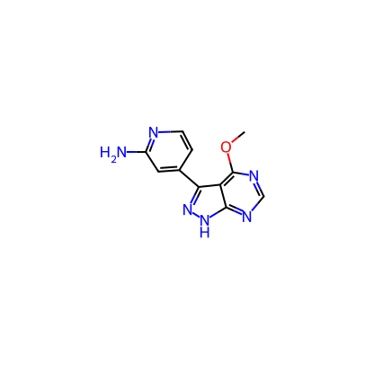 COc1ncnc2[nH]nc(-c3ccnc(N)c3)c12